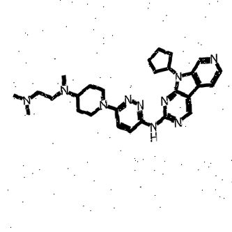 CN(C)CCN(C)C1CCN(c2ccc(Nc3ncc4c5ccncc5n(C5CCCC5)c4n3)nn2)CC1